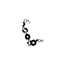 CCCCN1CCN(c2ccc(-n3cnc4ccc(CO)cc43)cc2)CC1